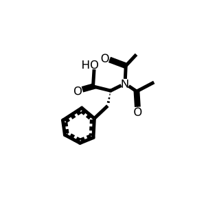 CC(=O)N(C(C)=O)[C@H](Cc1ccccc1)C(=O)O